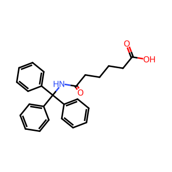 O=C(O)CCCCC(=O)NC(c1ccccc1)(c1ccccc1)c1ccccc1